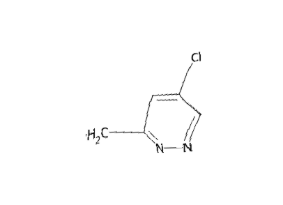 [CH2]c1cc(Cl)cnn1